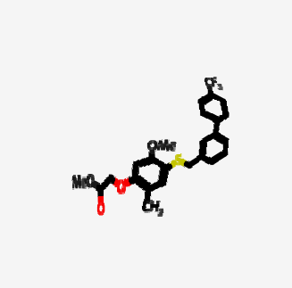 COC(=O)COc1cc(OC)c(SCc2cccc(-c3ccc(C(F)(F)F)cc3)c2)cc1C